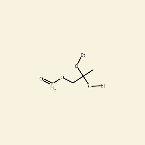 CCOC(C)(CO[PH2]=O)OCC